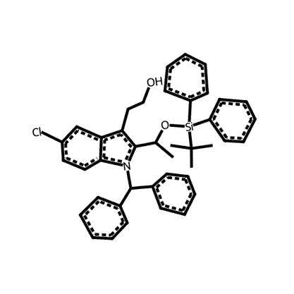 CC(O[Si](c1ccccc1)(c1ccccc1)C(C)(C)C)c1c(CCO)c2cc(Cl)ccc2n1C(c1ccccc1)c1ccccc1